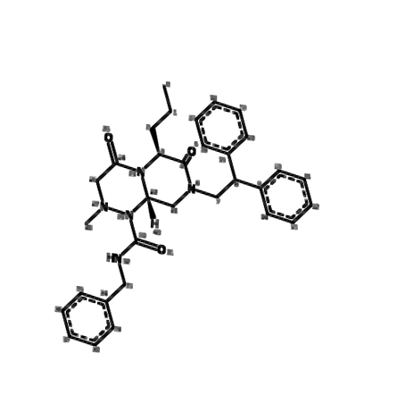 CCC[C@H]1C(=O)N(CC(c2ccccc2)c2ccccc2)C[C@H]2N1C(=O)CN(C)N2C(=O)NCc1ccccc1